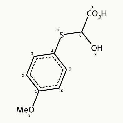 COc1ccc(SC(O)C(=O)O)cc1